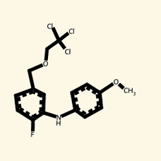 COc1ccc(Nc2cc(COCC(Cl)(Cl)Cl)ccc2F)cc1